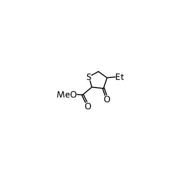 CCC1CSC(C(=O)OC)C1=O